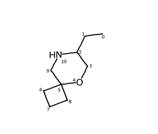 CCC1COC2(CCC2)CN1